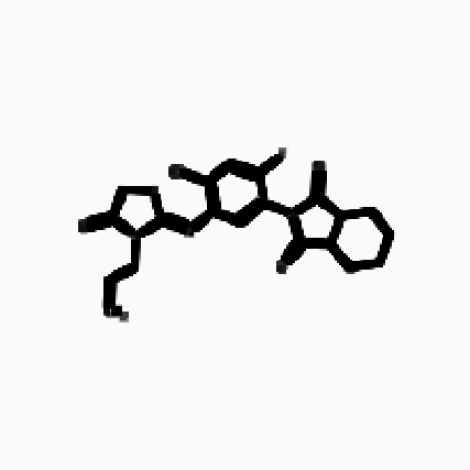 C=CCN1C(=O)CSC1=Nc1cc(N2C(=O)C3CCCCC3C2=O)c(F)cc1Cl